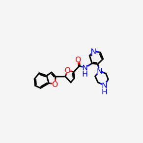 O=C(Nc1cnccc1N1CCNCC1)C1=CCC(c2cc3ccccc3o2)O1